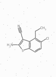 CCc1c(Cl)ccc2sc(N)c(C#N)c12